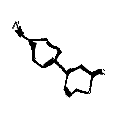 N#Cc1ccc(C2CCOC(=O)C2)cc1